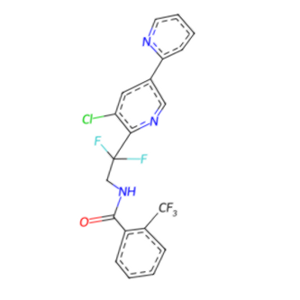 O=C(NCC(F)(F)c1ncc(-c2ccccn2)cc1Cl)c1ccccc1C(F)(F)F